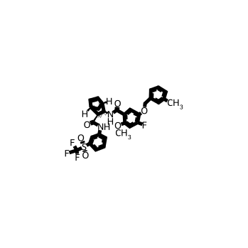 COc1cc(F)c(OCc2cccc(C)c2)cc1C(=O)N[C@H]1[C@@H](C(=O)Nc2cccc(S(=O)(=O)C(F)(F)F)c2)[C@@H]2C=C[C@H]1C2